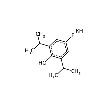 CC(C)c1cc(F)cc(C(C)C)c1O.[KH]